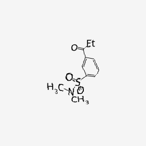 CCC(=O)c1cccc(S(=O)(=O)N(C)C)c1